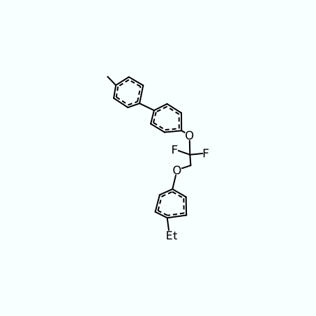 CCc1ccc(OCC(F)(F)Oc2ccc(-c3ccc(C)cc3)cc2)cc1